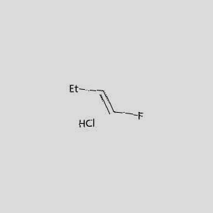 CCC=CF.Cl